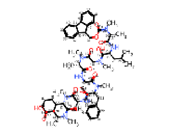 CC(C)C[C@H](NC(=O)[C@H](C)N(C)C(=O)CN(C)C(O)[C@H](CC(C)C)NC(=O)[C@H](C)N(C)C(=O)OCC1c2ccccc2-c2ccccc21)C(=O)N(C)[C@@H](Cc1ccccc1)C(=O)N[C@@H](C)C(=O)N(C)[C@H](C(=O)N(C)[C@H](C)CC(=O)O)C1CCCCC1